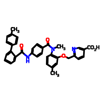 Cc1ccc(-c2ccccc2C(=O)Nc2ccc(C(=O)N(C)c3ccc(C)cc3OCc3ccc(C(=O)O)cn3)cc2)cc1